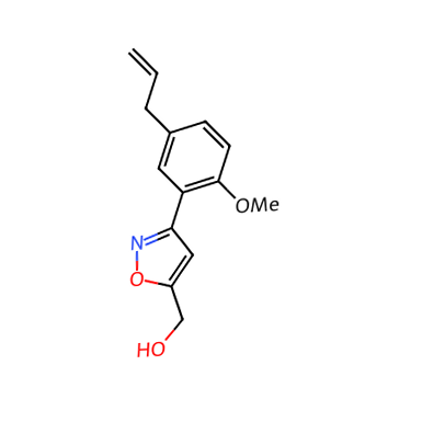 C=CCc1ccc(OC)c(-c2cc(CO)on2)c1